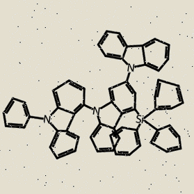 c1ccc(-n2c3ccccc3c3c(-n4c5ccccc5c5c([Si](c6ccccc6)(c6ccccc6)c6ccccc6)cc(-n6c7ccccc7c7ccccc76)cc54)cccc32)cc1